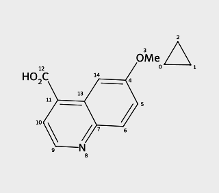 C1CC1.COc1ccc2nccc(C(=O)O)c2c1